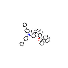 CC1(C)c2cc(N(c3ccc(-c4ccccc4)cc3)c3ccc(-c4ccccc4)cc3)ccc2-c2c1ccc1c2Oc2ccccc2[Si]1(C)c1ccccc1